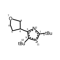 CC(C)(C)c1nc(C2CCOC2)c(C(C)(C)C)s1